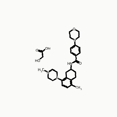 Cc1ccc(N2CCN(C)CC2)c2c1CCC(NC(=O)c1ccc(N3CCOCC3)cc1)C2.O=C(O)CO